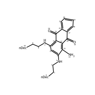 CCCCCCCCCCCCNc1cc(NCCCCCCCCCCCC)c2c(c1N)C(=O)c1ccccc1C2=O